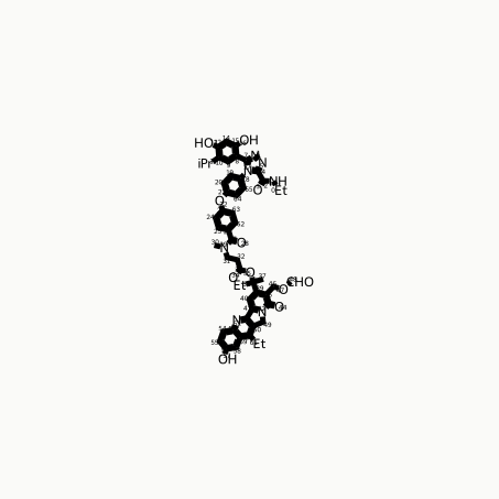 CCNC(=O)c1nnc(-c2cc(C(C)C)c(O)cc2O)n1-c1ccc(Oc2ccc(C(=O)N(C)CCC(=O)OC(C)(CC)c3cc4n(c(=O)c3COC=O)Cc3c-4nc4ccc(O)cc4c3CC)cc2)cc1